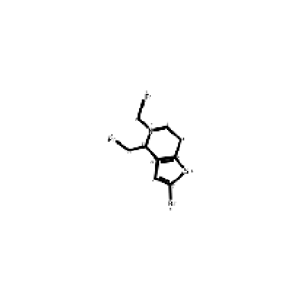 C[C](C)CN1CCc2sc(Br)cc2C1CC(C)C